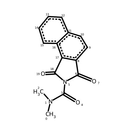 CN(C)C(=O)N1C(=O)c2ccc3ccccc3c2C1=O